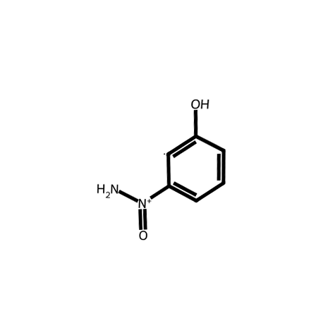 N[N+](=O)c1[c]c(O)ccc1